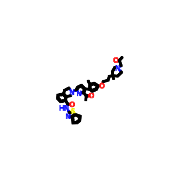 CC(=O)CN1CCC(C)(CCCOc2ccc(-c3ccc(N4CCc5cccc(C(=O)Nc6nc7ccccc7s6)c5C4)nc3C(C)=O)c(C)c2)CC1